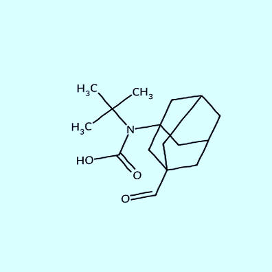 CC(C)(C)N(C(=O)O)C12CC3CC(CC(C=O)(C3)C1)C2